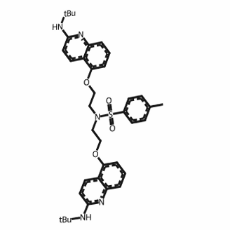 Cc1ccc(S(=O)(=O)N(CCOc2cccc3nc(NC(C)(C)C)ccc23)CCOc2cccc3nc(NC(C)(C)C)ccc23)cc1